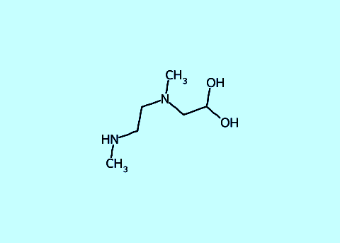 CNCCN(C)CC(O)O